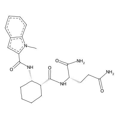 Cn1c(C(=O)N[C@H]2CCCC[C@H]2C(=O)N[C@@H](CCC(N)=O)C(N)=O)cc2ccccc21